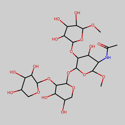 COC1OC(OC2C(OC3OCC(O)C(O)C3OC3OCC(O)C(O)C3O)OC(OC)C(NC(C)=O)C2O)C(O)C(O)C1O